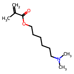 C=C(C)C(=O)OCCCCCCN(C)C